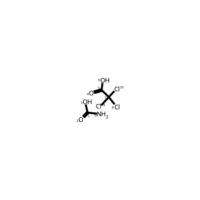 NC(=O)O.O=C(O)C(Cl)(Cl)Cl